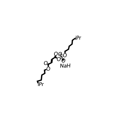 CC(C)CCCCCOC(=O)C=CC(=O)OS(=O)(=O)OCCCCCC(C)C.[NaH]